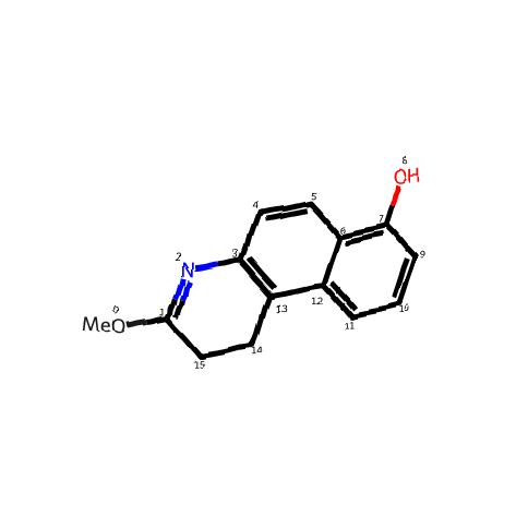 COC1=Nc2ccc3c(O)cccc3c2CC1